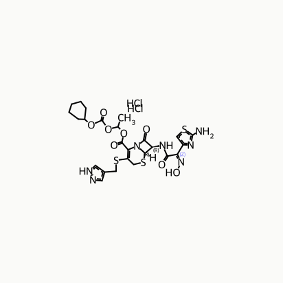 CC(OC(=O)OC1CCCCC1)OC(=O)C1=C(SCc2cn[nH]c2)CS[C@@H]2[C@H](NC(=O)/C(=N\O)c3csc(N)n3)C(=O)N12.Cl.Cl